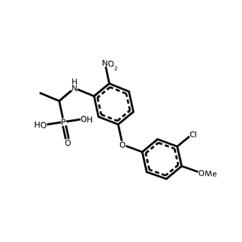 COc1ccc(Oc2ccc([N+](=O)[O-])c(NC(C)P(=O)(O)O)c2)cc1Cl